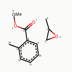 CC1CO1.COOC(=O)c1ccccc1C